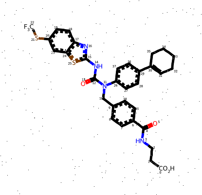 O=C(O)CCNC(=O)c1ccc(CN(C(=O)Nc2nc3ccc(SC(F)(F)F)cc3s2)c2ccc(C3=CCCCC3)cc2)cc1